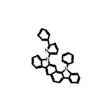 c1ccc(-c2cccc(-n3c4ccccc4c4cc5ccc6c7ccccc7n(-c7ccccc7)c6c5cc43)n2)cc1